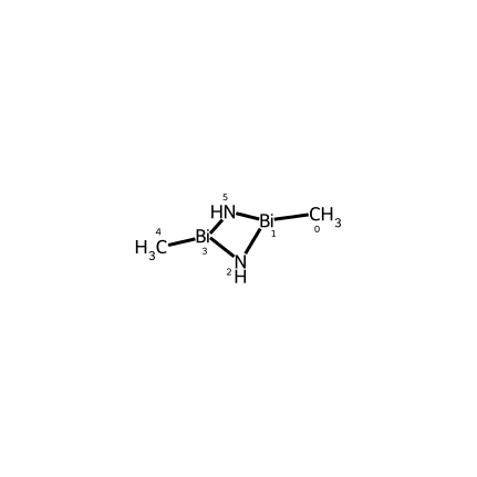 [CH3][Bi]1[NH][Bi]([CH3])[NH]1